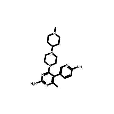 Cc1nc(N)nc(N2CCN(C3CCN(C)CC3)CC2)c1-c1ccc(N)nc1